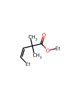 CC/C=C\C(C)(C)C(=O)OCC